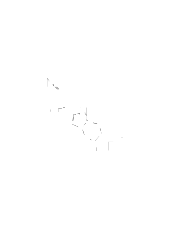 N#CCC(=O)c1cc2cc(F)c(C(F)(F)F)cc2[nH]1